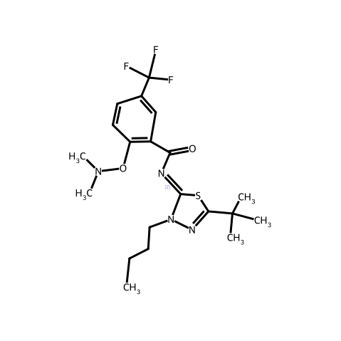 CCCCn1nc(C(C)(C)C)s/c1=N\C(=O)c1cc(C(F)(F)F)ccc1ON(C)C